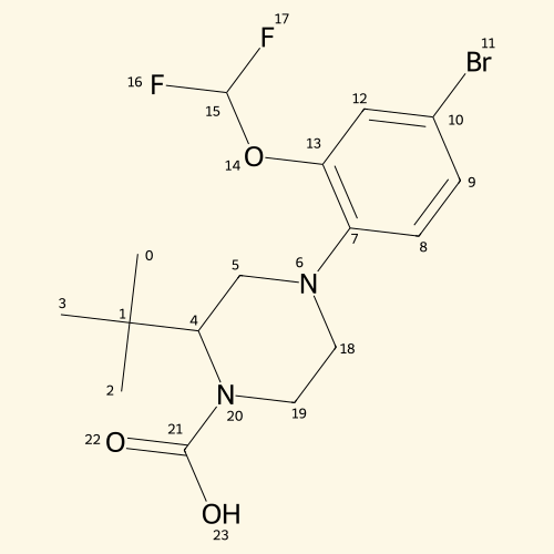 CC(C)(C)C1CN(c2ccc(Br)cc2OC(F)F)CCN1C(=O)O